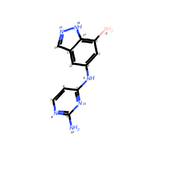 Bc1cc(Nc2ccnc(N)n2)cc2cn[nH]c12